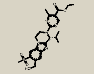 CCOC(=O)c1cnc(N2CCn3c(nc4cc(CO)c(S(C)(=O)=O)cc43)[C@H]2C(C)C)nc1C